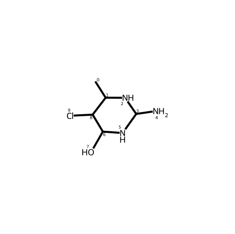 CC1NC(N)NC(O)C1Cl